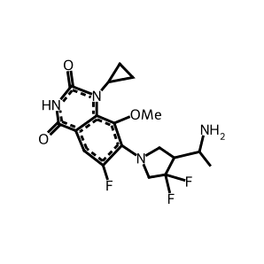 COc1c(N2CC(C(C)N)C(F)(F)C2)c(F)cc2c(=O)[nH]c(=O)n(C3CC3)c12